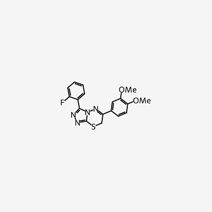 COc1ccc(C2=Nn3c(nnc3-c3ccccc3F)SC2)cc1OC